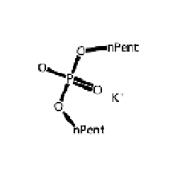 CCCCCOP(=O)([O-])OCCCCC.[K+]